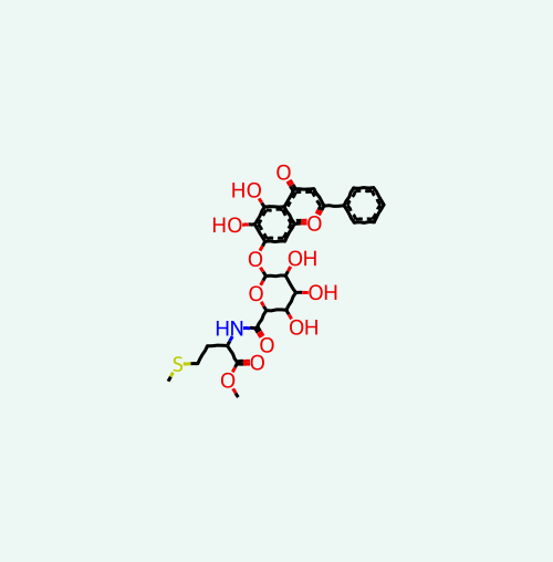 COC(=O)C(CCSC)NC(=O)C1OC(Oc2cc3oc(-c4ccccc4)cc(=O)c3c(O)c2O)C(O)C(O)C1O